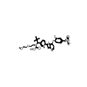 COCCOCCN(C(=O)O)C(c1ccc(-c2cc3nccc(Oc4ccc([N+](=O)[O-])cc4F)c3s2)nc1)C(C)(C)C